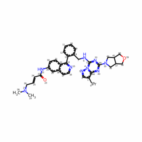 CC(C)c1cnn2c(NCc3ccccc3-c3nccc4cc(NC(=O)/C=C/CN(C)C)ccc34)nc(N3CC4COCC4C3)nc12